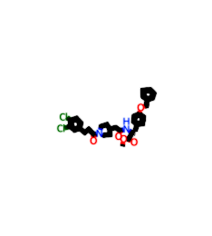 COC(=O)[C@H](Cc1ccc(OCc2ccccc2)cc1)NC(=O)CC1CCN(C(=O)CCc2ccc(Cl)c(Cl)c2)CC1